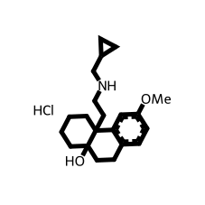 COc1ccc2c(c1)C1(CCNCC3CC3)CCCCC1(O)CC2.Cl